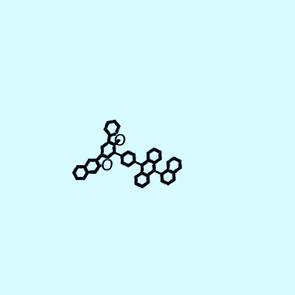 c1ccc2cc3c(cc2c1)oc1c(-c2ccc(-c4c5ccccc5c(-c5cccc6ccccc56)c5ccccc45)cc2)c2oc4ccccc4c2cc13